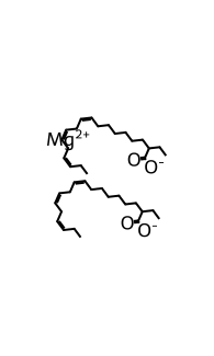 CC/C=C\C/C=C\C/C=C\CCCCCCC(CC)C(=O)[O-].CC/C=C\C/C=C\C/C=C\CCCCCCC(CC)C(=O)[O-].[Mg+2]